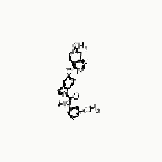 Cc1cccc(NC(=O)n2ccc3cc(Oc4ncnc5c4CCN(C)C5)ccc32)c1